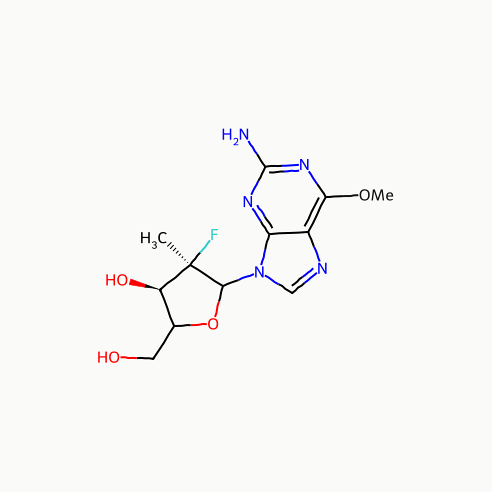 COc1nc(N)nc2c1ncn2C1OC(CO)[C@@H](O)[C@@]1(C)F